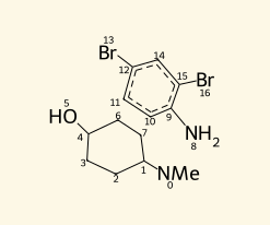 CNC1CCC(O)CC1.Nc1ccc(Br)cc1Br